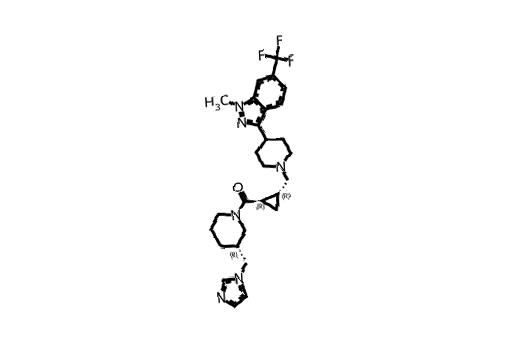 Cn1nc(C2CCN(C[C@@H]3C[C@H]3C(=O)N3CCC[C@@H](Cn4ccnc4)C3)CC2)c2ccc(C(F)(F)F)cc21